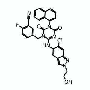 N#Cc1cc(Cn2c(Nc3cc4cn(CCO)nc4cc3Cl)nc(=O)n(-c3cccc4ccccc34)c2=O)ccc1F